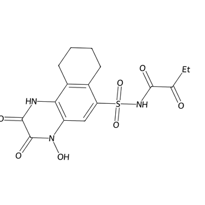 CCC(=O)C(=O)NS(=O)(=O)c1cc2c([nH]c(=O)c(=O)n2O)c2c1CCCC2